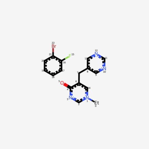 CCn1cnc(=O)c(Cc2cncnc2)c1.Fc1ccccc1Br